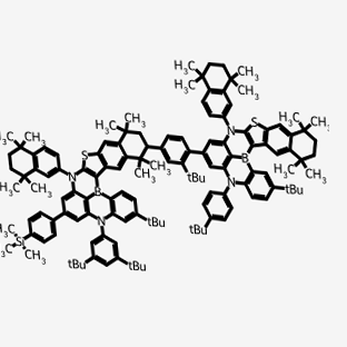 CC(C)(C)c1ccc(N2c3ccc(C(C)(C)C)cc3B3c4c2cc(-c2ccc(C5CC(C)(C)c6cc7sc8c(c7cc6C5(C)C)B5c6ccc(C(C)(C)C)cc6N(c6cc(C(C)(C)C)cc(C(C)(C)C)c6)c6cc(-c7ccc([Si](C)(C)C)cc7)cc(c65)N8c5ccc6c(c5)C(C)(C)CCC6(C)C)cc2C(C)(C)C)cc4N(c2ccc4c(c2)C(C)(C)CCC4(C)C)c2sc4cc5c(cc4c23)C(C)(C)CCC5(C)C)cc1